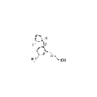 Cc1cc(COCCO)c2c(c1)[C@H]1C=CC[C@H]1O2